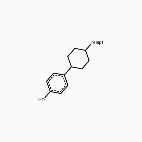 CCCCCCCC1CCC(c2ccc(O)cc2)CC1